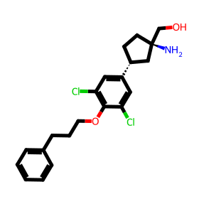 N[C@]1(CO)CC[C@@H](c2cc(Cl)c(OCCCc3ccccc3)c(Cl)c2)C1